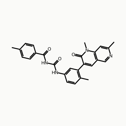 Cc1ccc(C(=O)NC(=O)Nc2ccc(C)c(-c3cc4cnc(C)cc4n(C)c3=O)c2)cc1